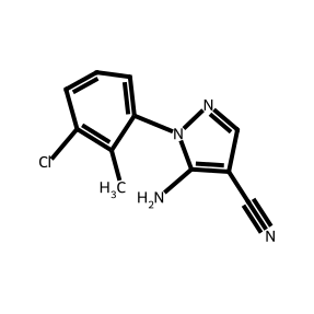 Cc1c(Cl)cccc1-n1ncc(C#N)c1N